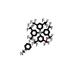 FC(F)(F)c1cc([B-](c2cc(C(F)(F)F)cc(C(F)(F)F)c2)(c2cc(C(F)(F)F)cc(C(F)(F)F)c2)c2cc(C(F)(F)F)cc(C(F)(F)F)c2)cc(C(F)(F)F)c1.N#[N+]c1ccccc1